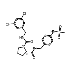 CS(=O)(=O)Nc1ccc(CNC(=O)[C@@H]2CCC[C@H]2C(=O)NCc2cc(Cl)cc(Cl)c2)cc1